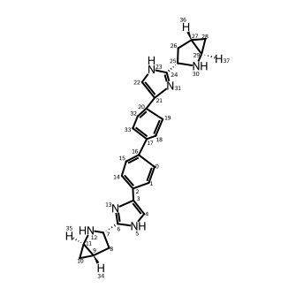 c1cc(-c2c[nH]c([C@@H]3C[C@@H]4C[C@H]4N3)n2)ccc1-c1ccc(-c2c[nH]c([C@@H]3C[C@@H]4C[C@H]4N3)n2)cc1